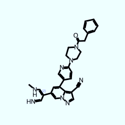 CN/C=C(\C=N)c1cc(-c2ccc(N3CCN(C(=O)Cc4ccccc4)CC3)nc2)c2c(C#N)cnn2c1